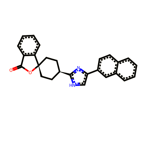 O=C1O[C@]2(CC[C@H](c3nc(-c4ccc5ccccc5c4)c[nH]3)CC2)c2ccccc21